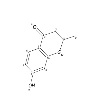 CC1CC(=O)c2ccc(O)cc2S1